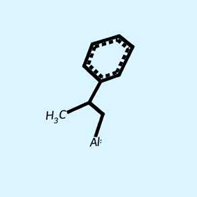 CC([CH2][Al])c1ccccc1